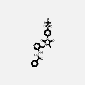 CC1C(=O)N(c2ccc(S(=O)(=O)C(F)(F)F)cc2)C(=O)N1Cc1ccncc1NNC(=O)c1ccccc1